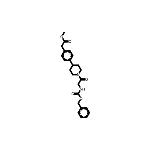 COC(=O)Cc1ccc(C2CCN(C(=O)CNC(=O)OCc3ccccc3)CC2)cc1